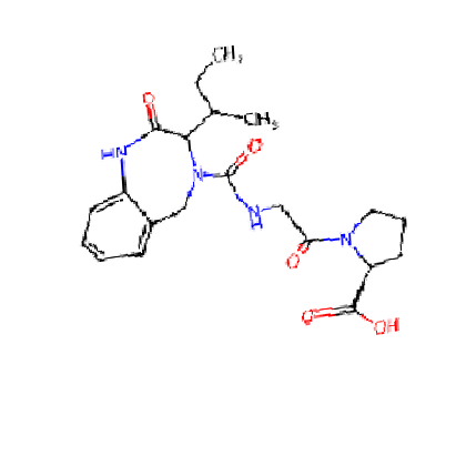 CCC(C)C1C(=O)Nc2ccccc2CN1C(=O)NCC(=O)N1CCC[C@H]1C(=O)O